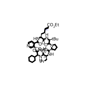 CCOC(=O)/C=C/CC[C@H](NC(=O)c1ccncc1C(=O)O)C(=O)N[C@H](C(=O)N1CCC[C@H]1C(=O)N[C@@H](CC(C)C)C(=O)N[C@H](C(N)=O)C1CCCCC1)C(C)(C)C